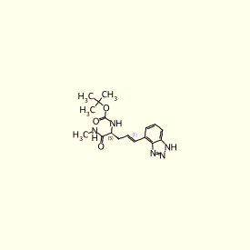 CNC(=O)[C@H](C/C=C/c1cccc2[nH]nnc12)NC(=O)OC(C)(C)C